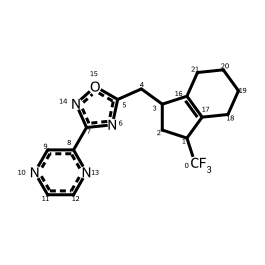 FC(F)(F)C1CC(Cc2nc(-c3cnccn3)no2)C2=C1CCCC2